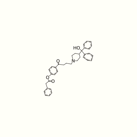 O=C(Cc1ccccc1)Oc1ccc(C(=O)CCCN2CCC(C(O)(c3ccccc3)c3ccccc3)CC2)cc1